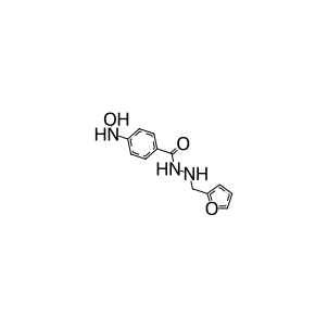 O=C(NNCc1ccco1)c1ccc(NO)cc1